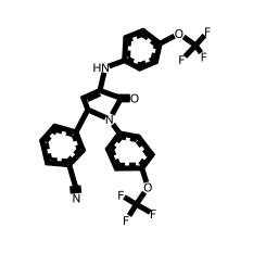 N#Cc1cccc(C2C=C(Nc3ccc(OC(F)(F)F)cc3)C(=O)N2c2ccc(OC(F)(F)F)cc2)c1